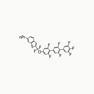 CCCc1ccc2cc(C(F)(F)Oc3cc(F)c(-c4cc(F)c(-c5cc(F)c(F)c(F)c5)c(F)c4)c(F)c3)sc2c1